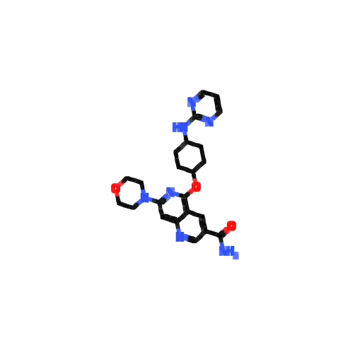 NC(=O)c1cnc2cc(N3CCOCC3)nc(OC3CCC(Nc4ncccn4)CC3)c2c1